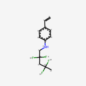 C=Cc1ccc(NCC(F)(F)CC(C)(F)F)cc1